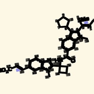 C/N=C(\SC)c1c(C2CCCC2)c2ccc(C(=O)NC3(c4nc5ccc(/C=C/C(=O)O)cc5n4C)CCC3)cc2n1C